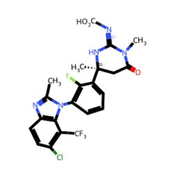 Cc1nc2ccc(Cl)c(C(F)(F)F)c2n1-c1cccc([C@]2(C)CC(=O)N(C)/C(=N/C(=O)O)N2)c1F